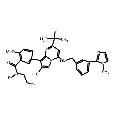 CCN(CCO)C(=O)c1cc(-c2c(C)nn3c(NCc4cccc(-c5nccn5C)c4)cc(C(C)(C)O)nc23)ccc1OC